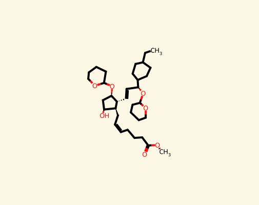 CCC1CCC([C@H](/C=C/[C@@H]2[C@@H](C/C=C\CCCC(=O)OC)[C@@H](O)C[C@H]2OC2CCCCO2)OC2CCCCO2)CC1